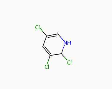 ClC1=[C]NC(Cl)C(Cl)=C1